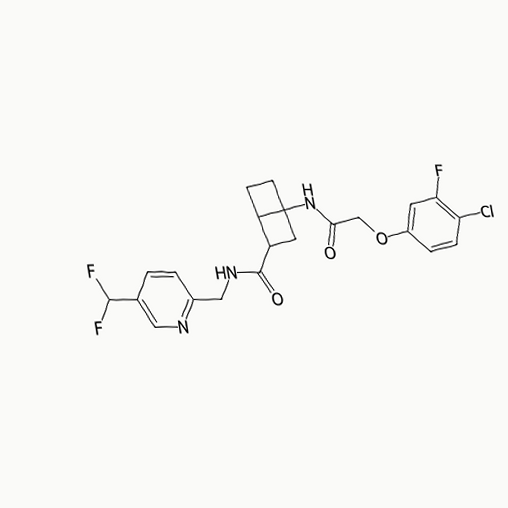 O=C(COc1ccc(Cl)c(F)c1)NC12CCC1C(C(=O)NCc1ccc(C(F)F)cn1)C2